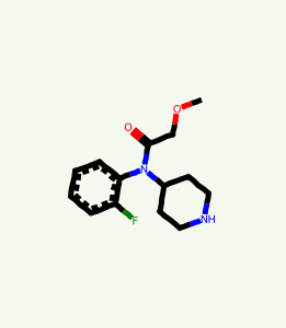 COCC(=O)N(c1ccccc1F)C1CCNCC1